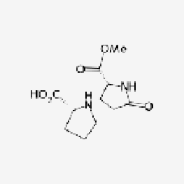 COC(=O)[C@H]1CCC(=O)N1.O=C(O)[C@H]1CCCN1